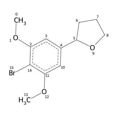 COc1cc(C2CCCO2)cc(OC)c1Br